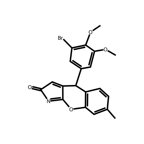 COc1cc(C2C3=CC(=O)N=C3Oc3cc(C)ccc32)cc(Br)c1OC